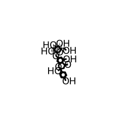 O=C1CC(O)(c2ccc(O)cc2)Oc2cc(O[C@@H]3O[C@H](CO)[C@@H](O)[C@H](O)[C@H]3O)cc(O)c21